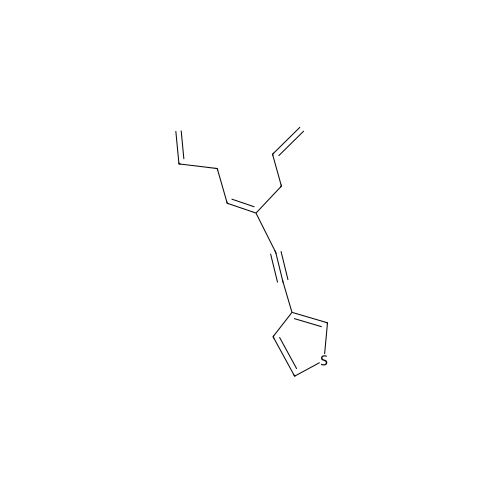 C=CCC=C(C#Cc1ccsc1)CC=C